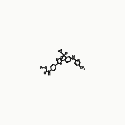 CC(C)OC(=O)NC1CCC(c2ncc(-c3ccc(Nc4ccc(C(F)(F)F)cn4)cc3S(=O)(=O)C3CC3)s2)CC1